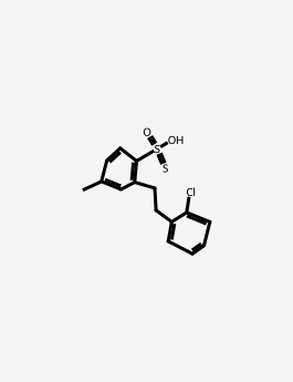 Cc1ccc(S(=O)(O)=S)c(CCc2ccccc2Cl)c1